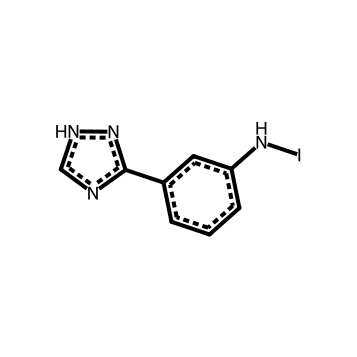 INc1cccc(-c2nc[nH]n2)c1